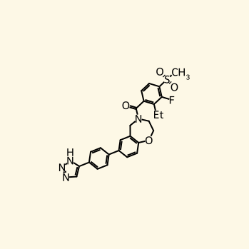 CCc1c(C(=O)N2CCOc3ccc(-c4ccc(-c5cnn[nH]5)cc4)cc3C2)ccc(S(C)(=O)=O)c1F